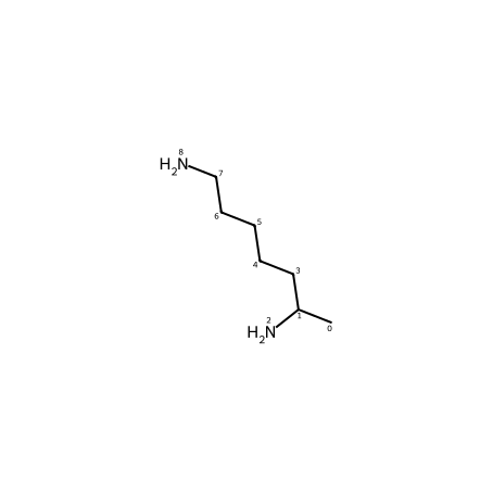 CC(N)CCCCCN